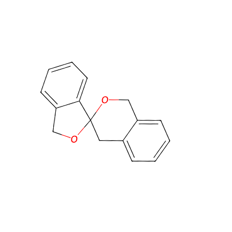 c1ccc2c(c1)COC1(C2)OCc2ccccc21